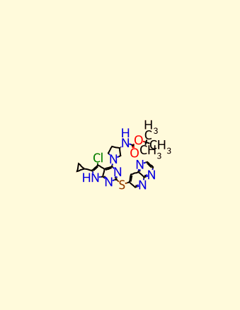 CC(C)(C)OC(=O)N[C@H]1CCN(c2nc(Sc3cnc4nccnc4c3)nc3[nH]c(C4CC4)c(Cl)c23)C1